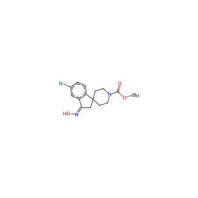 CC(C)(C)OC(=O)N1CCC2(CC1)C/C(=N/O)c1cc(Br)ccc12